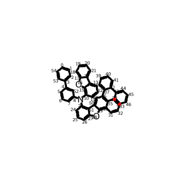 c1ccc(-c2cccc(N(c3cccc4c3oc3ccccc34)c3cccc4oc5c6ccccc6c(-c6ccccc6-c6ccccc6)cc5c34)c2)cc1